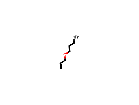 C=CCOCCCC[CH]C